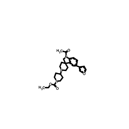 CCOC(=O)N1CCC(N2CCC3(CC2)CN(C(C)=O)c2ccc(-c4ccoc4)cc23)CC1